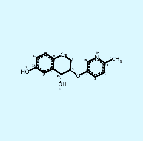 Cc1ccc(O[C@@H]2COc3ccc(O)cc3[C@H]2O)cn1